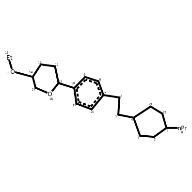 CCCC1CCC(CCc2ccc(C3CCC(OCC)CO3)cc2)CC1